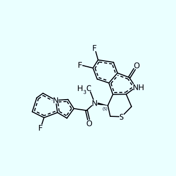 CN(C(=O)c1cc2c(F)cccn2c1)[C@@H]1CSCc2[nH]c(=O)c3cc(F)c(F)cc3c21